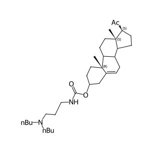 CCCCN(CCCC)CCCNC(=O)OC1CC[C@@]2(C)C(=CCC3C2CC[C@@]2(C)C3CC[C@@H]2C(C)=O)C1